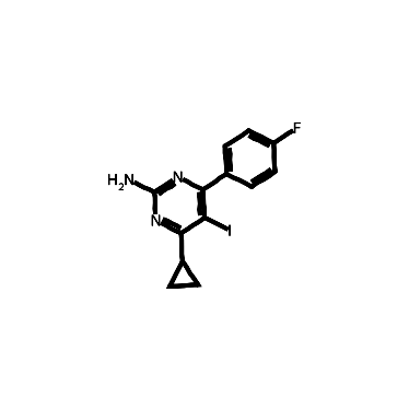 Nc1nc(-c2ccc(F)cc2)c(I)c(C2CC2)n1